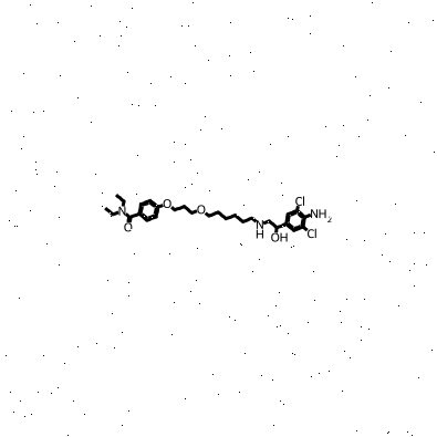 CCN(CC)C(=O)c1ccc(OCCCOCCCCCCNCC(O)c2cc(Cl)c(N)c(Cl)c2)cc1